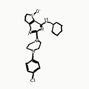 [O-][S+]1CCc2nc(N3CCN(c4ccc(Cl)cc4)CC3)nc(NC3CCCCC3)c21